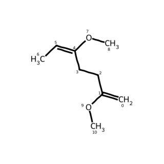 C=C(CC/C(=C\C)OC)OC